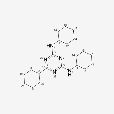 C1CCC(Nc2nc(NC3CCCCC3)nc(C3CCCCC3)n2)CC1